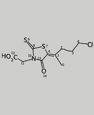 CC(CCCCl)=C1SC(=S)N(CC(=O)O)C1=O